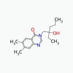 CCCC(O)(CC)Cn1cnc2cc(C)c(C)cc2c1=O